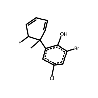 CC1(c2cc(Cl)cc(Br)c2O)C=CC=CC1F